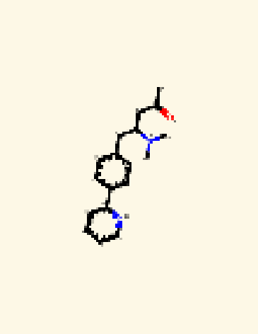 CC(=O)CC(Cc1ccc(-c2ccccn2)cc1)N(C)C